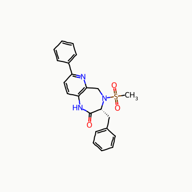 CS(=O)(=O)N1Cc2nc(-c3ccccc3)ccc2NC(=O)[C@H]1Cc1ccccc1